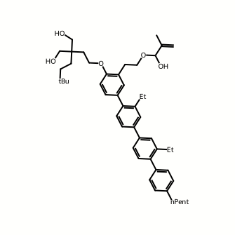 C=C(C)C(O)OCCc1cc(-c2ccc(-c3ccc(-c4ccc(CCCCC)cc4)c(CC)c3)cc2CC)ccc1OCCC(CO)(CO)CCC(C)(C)C